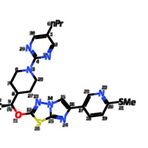 CCCc1cnc(N2CCC([C@H](C)Oc3nn4cc(-c5ccc(SC)nc5)nc4s3)CC2)nc1